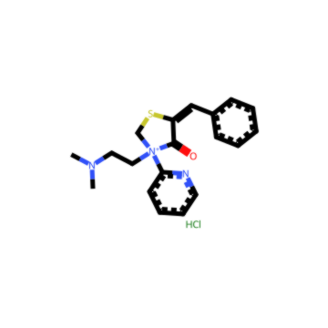 CN(C)CC[N+]1(c2ccccn2)CSC(=Cc2ccccc2)C1=O.Cl